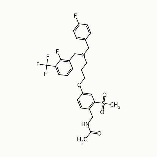 CC(=O)NCc1ccc(OCCCN(Cc2ccc(F)cc2)Cc2cccc(C(F)(F)F)c2F)cc1S(C)(=O)=O